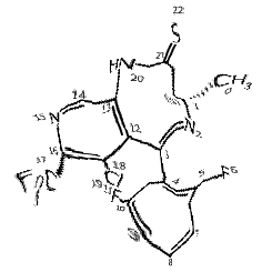 C[C@@H]1N=C(c2c(F)cccc2F)c2c(cnc(C(F)(F)F)c2Cl)NC1=S